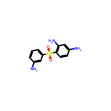 Nc1cccc(S(=O)(=O)c2ccc(N)cc2N)c1